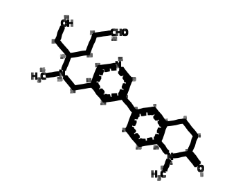 CN1C(=O)CCc2cc(-c3cncc(CN(C)C(CO)CCC=O)c3)ccc21